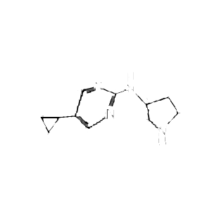 c1nc(NC2CCNC2)ncc1C1CC1